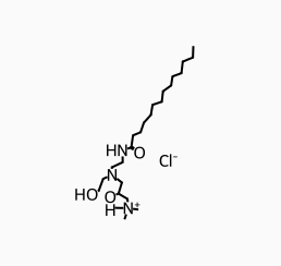 CCCCCCCCCCCCCC(=O)NCCN(CCO)CC(O)C[N+](C)(C)C.[Cl-]